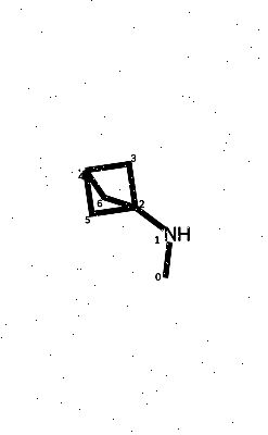 CNC12C[C](C1)C2